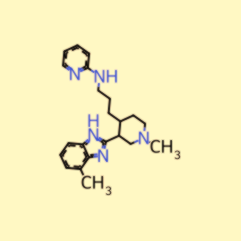 Cc1cccc2[nH]c(C3CN(C)CCC3CCCNc3ccccn3)nc12